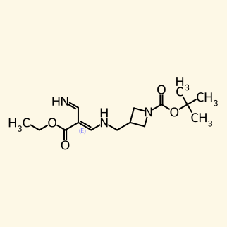 CCOC(=O)/C(C=N)=C/NCC1CN(C(=O)OC(C)(C)C)C1